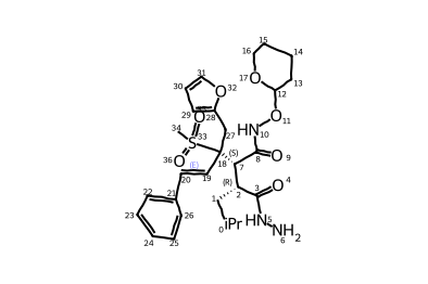 CC(C)C[C@@H](C(=O)NN)[C@@H](C(=O)NOC1CCCCO1)C(/C=C/c1ccccc1)(Cc1ccco1)S(C)(=O)=O